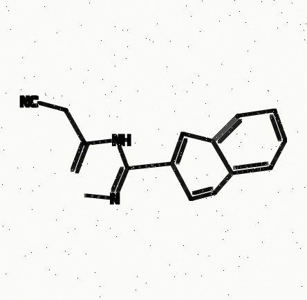 C=C(CC#N)N/C(=N\C)c1ccc2ccccc2c1